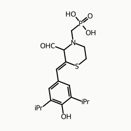 CC(C)c1cc(C=C2SCCN(CP(=O)(O)O)C2C=O)cc(C(C)C)c1O